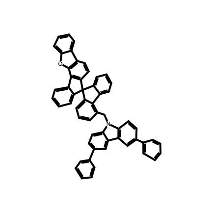 c1ccc(-c2ccc3c(c2)c2cc(-c4ccccc4)ccc2n3Cc2cccc3c2-c2ccccc2C32c3ccccc3-c3c2ccc2c3oc3ccccc32)cc1